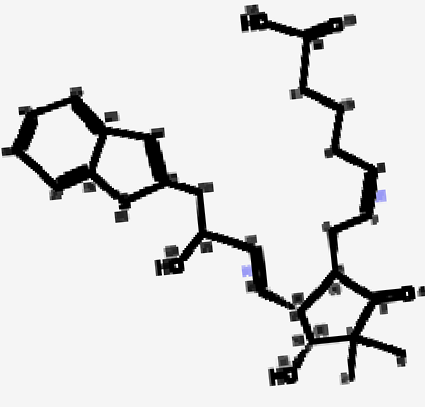 CC1(C)C(=O)[C@H](C/C=C\CCCC(=O)O)[C@@H](/C=C/C(O)Cc2cc3ccccc3s2)[C@H]1O